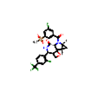 CS(=O)(=O)c1cc(F)cc(C(=O)N2[C@@H](C(=O)NC(c3ccc(C(F)(F)F)cc3F)C3COC3)C[C@H]3C[C@H]32)c1